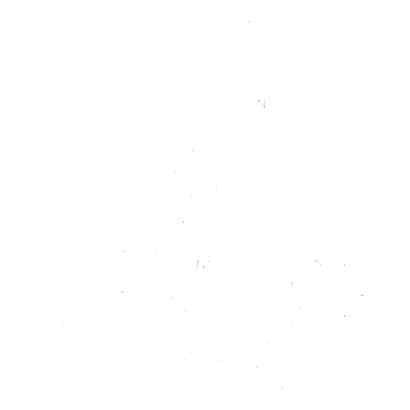 c1ccc(-c2ccc(N(c3ccc4c(c3)sc3ccc(N(c5ccccc5)c5ccccc5)cc34)c3ccc(-c4cccc5oc6ccccc6c45)c4oc5ccccc5c34)cc2)cc1